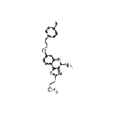 CCCc1nc2c(N)nc3cc(OCCc4ccc(F)cc4)ccc3c2s1